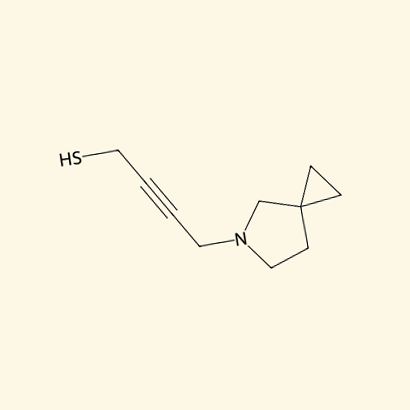 SCC#CCN1CCC2(CC2)C1